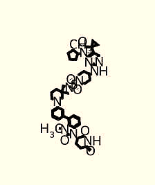 CC1CCCC1N1C(=O)C2(CC2)c2cnc(NC3CCN(S(=O)(=O)N4CC5(CCCN(c6cccc(-c7cccc8c7n(C)c(=O)n8C7CCC(=O)NC7=O)c6)C5)C4)CC3)nc21